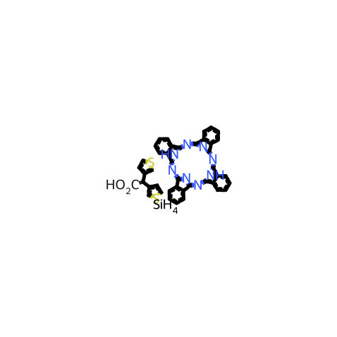 O=C(O)C(c1ccsc1)c1ccsc1.[SiH4].c1ccc2c(c1)-c1nc-2nc2[nH]c(nc3nc(nc4[nH]c(n1)c1ccccc41)-c1ccccc1-3)c1ccccc21